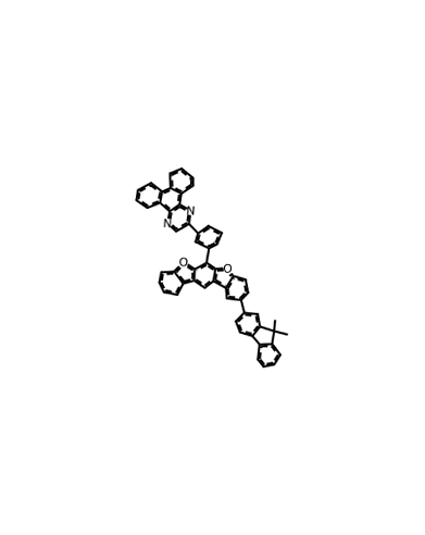 CC1(C)c2ccccc2-c2ccc(-c3ccc4oc5c(-c6cccc(-c7cnc8c9ccccc9c9ccccc9c8n7)c6)c6oc7ccccc7c6cc5c4c3)cc21